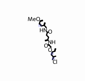 C=C/C(=C\C(C)=C\Cl)OCC(=O)NC(=C)CCC(=O)NCC(=C)/C=C\C(=C)OC